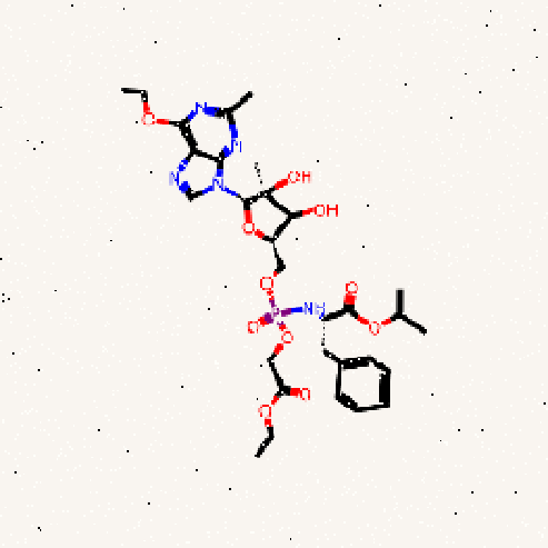 CCOC(=O)COP(=O)(N[C@@H](Cc1ccccc1)C(=O)OC(C)C)OC[C@H]1O[C@@H](n2cnc3c(OCC)nc(C)nc32)[C@@](C)(O)C1O